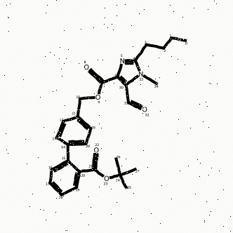 CCCCc1nc(C(=O)OCc2ccc(-c3ccccc3C(=O)OC(C)(C)C)cc2)c(C=O)n1C